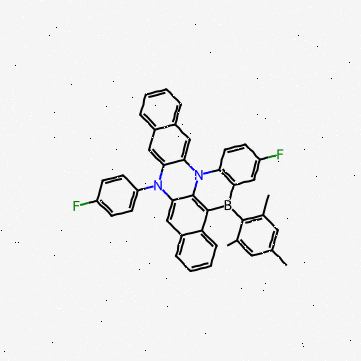 Cc1cc(C)c(B2c3cc(F)ccc3N3c4cc5ccccc5cc4N(c4ccc(F)cc4)c4cc5ccccc5c2c43)c(C)c1